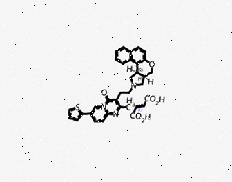 Cc1nc2ccc(-c3cccs3)cn2c(=O)c1CCN1C[C@@H]2COc3ccc4ccccc4c3[C@@H]2C1.O=C(O)/C=C/C(=O)O